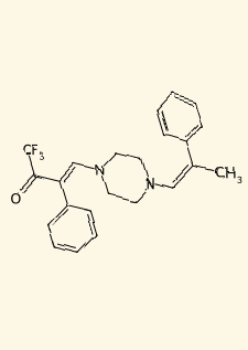 C/C(=C/N1CCN(/C=C(/C(=O)C(F)(F)F)c2ccccc2)CC1)c1ccccc1